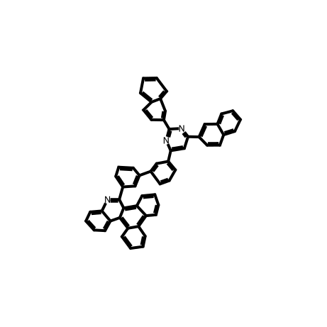 c1cc(-c2cccc(-c3nc4ccccc4c4c5ccccc5c5ccccc5c34)c2)cc(-c2cc(-c3ccc4ccccc4c3)nc(-c3ccc4ccccc4c3)n2)c1